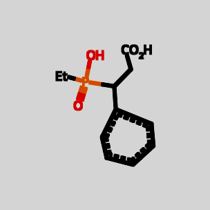 CCP(=O)(O)C(CC(=O)O)c1ccccc1